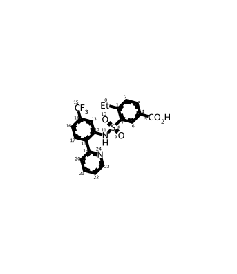 CCc1ccc(C(=O)O)cc1S(=O)(=O)Nc1cc(C(F)(F)F)ccc1-c1ccccn1